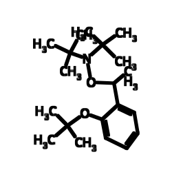 CC(ON(C(C)(C)C)C(C)(C)C)c1ccccc1OC(C)(C)C